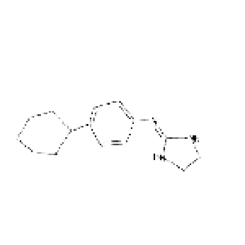 c1cc(C2CCCCC2)ccc1N=C1NCCN1